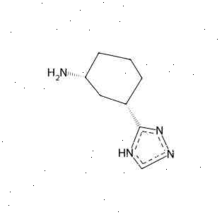 N[C@@H]1CCC[C@H](c2nnc[nH]2)C1